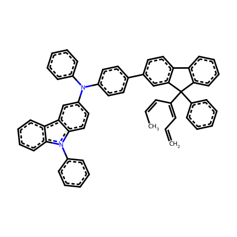 C=C/C=C(\C=C/C)C1(c2ccccc2)c2ccccc2-c2ccc(-c3ccc(N(c4ccccc4)c4ccc5c(c4)c4ccccc4n5-c4ccccc4)cc3)cc21